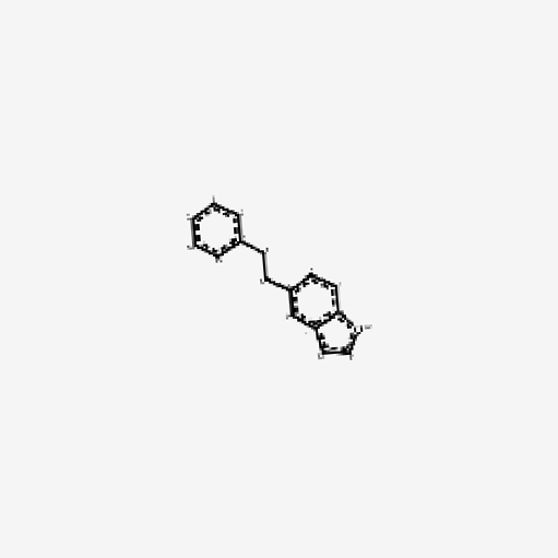 c1ccc(CCc2ccc3occc3c2)cc1